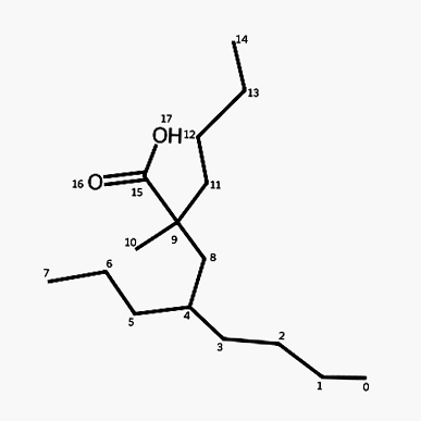 CCCCC(CCC)CC(C)(CCCC)C(=O)O